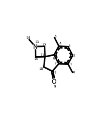 Cc1ccc(C)c2c1C(=O)CC21CN(C)C1